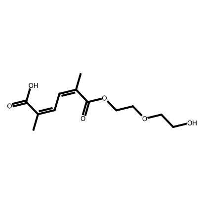 CC(=CC=C(C)C(=O)OCCOCCO)C(=O)O